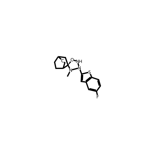 CN1N(c2cc3cc(F)ccc3s2)NO[C@@]12CC1CCC2CC1